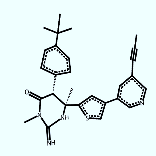 CC#Cc1cncc(-c2csc([C@@]3(C)NC(=N)N(C)C(=O)[C@@H]3c3ccc(C(C)(C)C)cc3)c2)c1